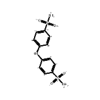 NS(=O)(=O)c1ccc(Nc2ccc(S(N)(=O)=O)cc2)cc1